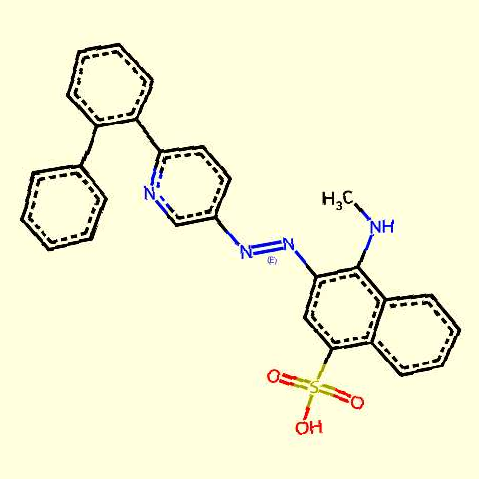 CNc1c(/N=N/c2ccc(-c3ccccc3-c3ccccc3)nc2)cc(S(=O)(=O)O)c2ccccc12